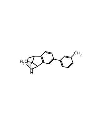 Cc1cccc(-c2ccc3c(c2)C2NCCC3[C@@H]2C)c1